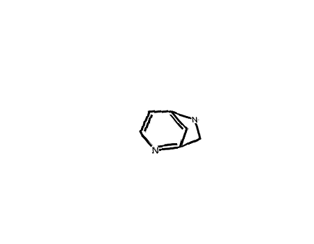 c1cc2cc(n1)C[N]2